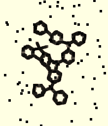 CC1(C)c2ccccc2-c2cc3c4cc(N(c5ccccc5)c5ccccc5)ccc4n(-c4cccc(N(c5ccccc5)c5ccc(-c6ccccc6)cc5)c4)c3cc21